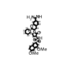 COc1ccc2cc(S(=O)(=O)NC3CCN(C(Cc4ccc(C(=N)N)cc4)C(=O)N4CCCCC4)C3=O)cc(OC)c2c1